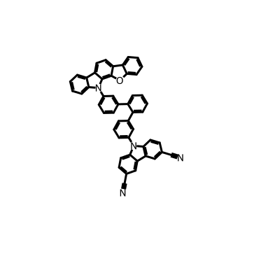 N#Cc1ccc2c(c1)c1cc(C#N)ccc1n2-c1cccc(-c2ccccc2-c2cccc(-n3c4ccccc4c4ccc5c6ccccc6oc5c43)c2)c1